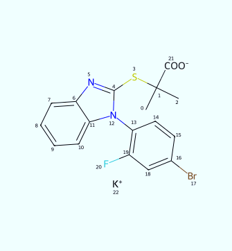 CC(C)(Sc1nc2ccccc2n1-c1ccc(Br)cc1F)C(=O)[O-].[K+]